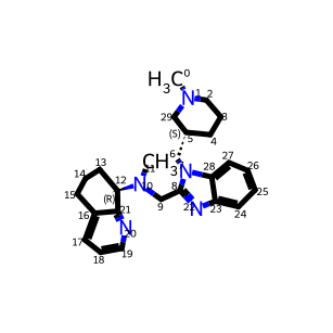 CN1CCC[C@H](Cn2c(CN(C)[C@@H]3CCCc4cccnc43)nc3ccccc32)C1